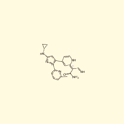 Cc1cccc(-n2nc(NC3CC3)cc2C2=C/C(=C(/C=N)C(N)=O)NC=C2)n1